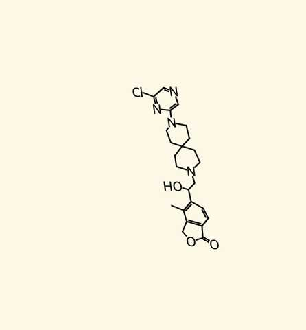 Cc1c(C(O)CN2CCC3(CC2)CCN(c2cncc(Cl)n2)CC3)ccc2c1COC2=O